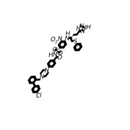 O=C(NS(=O)(=O)c1ccc(N[C@H](CCc2nn[nH]n2)CSc2ccccc2)c([N+](=O)[O-])c1)c1ccc(N2CCN(Cc3ccccc3-c3ccc(Cl)cc3)CC2)cc1